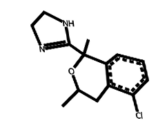 CC1Cc2c(Cl)cccc2C(C)(C2=NCCN2)O1